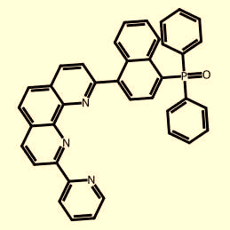 O=P(c1ccccc1)(c1ccccc1)c1ccc(-c2ccc3ccc4ccc(-c5ccccn5)nc4c3n2)c2ccccc12